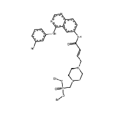 CCOP(=O)(CN1CCN(CC=CC(=O)Nc2ccc3ncnc(Nc4cccc(Br)c4)c3c2)CC1)OCC